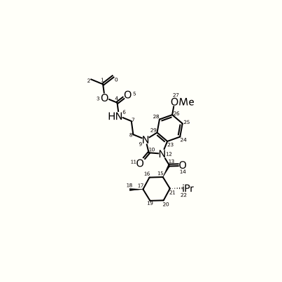 C=C(C)OC(=O)NCCn1c(=O)n(C(=O)[C@@H]2C[C@H](C)CC[C@H]2C(C)C)c2ccc(OC)cc21